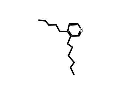 [CH2]CCCCc1ccncc1CCCCCC